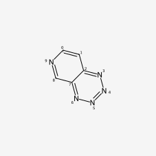 [c]1cc2nnnnc2cn1